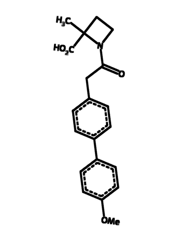 COc1ccc(-c2ccc(CC(=O)N3CCC3(C)C(=O)O)cc2)cc1